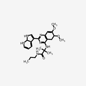 CCCNC(=O)C(C)(C)Nc1nc(C2=CNC3NC=CC=C23)nc2c1CC(OC)C(OC)=C2